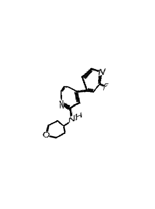 Fc1cc(-c2ccnc(NC3CCOCC3)c2)ccn1